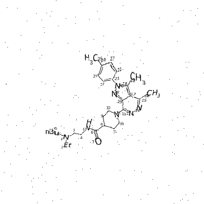 CCCCN(CC)CCNC(=O)C1CCN(c2nnc(C)c3c(C)n(-c4ccc(C)cc4)nc23)CC1